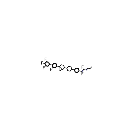 CC/C=C/C(F)=C(\F)c1ccc(C2CCC(C3CCC(c4ccc(-c5cc(F)c(F)c(F)c5)c(F)c4)OC3)CC2)cc1